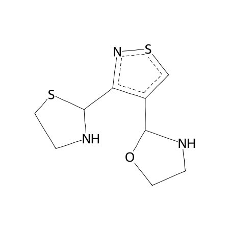 c1snc(C2NCCS2)c1C1NCCO1